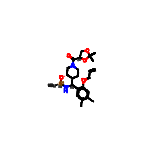 C=CCOc1cc(C)c(C)cc1[C@@H](N[S@@+]([O-])C(C)(C)C)C1CCN(C(=O)[C@H]2COC(C)(C)O2)CC1